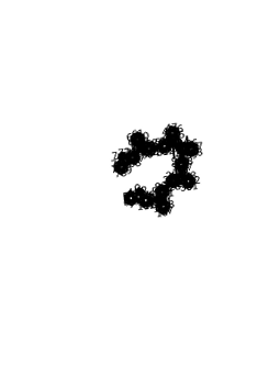 CC1(C)c2ccccc2-c2ccc(-n3c4ccccc4c4cc(-c5ccc6c(c5)c5ccccc5n6-c5ccc(-c6nc(-n7c8ccccc8c8cc(-c9ccc%10c(c9)c9ccccc9n%10-c9ccc%10c(c9)C(C)(C)c9ccccc9-%10)ccc87)nc7ccccc67)cc5)ccc43)cc21